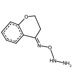 NNO/N=C1\CCOc2ccccc21